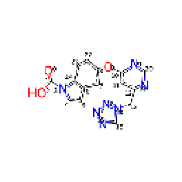 O=C(O)n1ccc2cc(Oc3cc(Cn4cnnn4)ncn3)ccc21